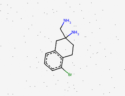 NCC1(N)CCc2c(Br)cccc2C1